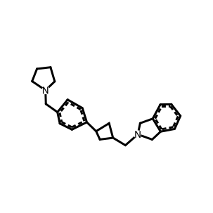 c1ccc2c(c1)CN(CC1CC(c3ccc(CN4CCCC4)cc3)C1)C2